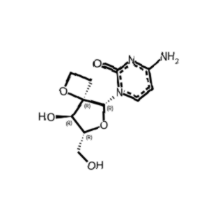 Nc1ccn([C@@H]2O[C@H](CO)[C@@H](O)[C@]23CCO3)c(=O)n1